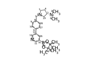 CN(C)[C@H]1CCN(Cc2ccc(-c3cncc(B4OC(C)(C)C(C)(C)O4)c3)cc2)C1